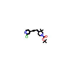 CC(C)(C)OC(=O)N1CC/C(=C\C#Cc2ccnc(Cl)c2)C(C)(C)C1